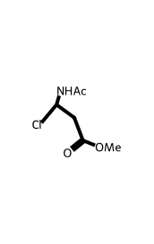 COC(=O)CC(Cl)NC(C)=O